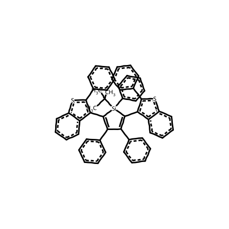 CC(C)(C)[Si]1(c2ccccc2)C(c2c(-c3ccccc3)sc3ccccc23)=C(c2ccccc2)C(c2ccccc2)=C1c1c(-c2ccccc2)sc2ccccc12